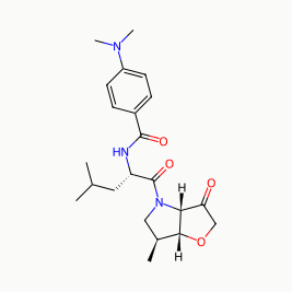 CC(C)C[C@H](NC(=O)c1ccc(N(C)C)cc1)C(=O)N1C[C@H](C)[C@H]2OCC(=O)[C@H]21